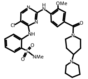 CNS(=O)(=O)c1ccccc1Nc1nc(Nc2ccc(C(=O)N3CCC(N4CCCCC4)CC3)cc2OC)ncc1Cl